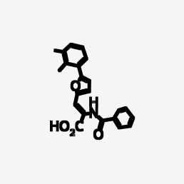 Cc1cccc(-c2ccc(/C=C(\NC(=O)c3ccccc3)C(=O)O)o2)c1C